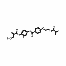 C=C(C)C(=O)OCCOc1ccc(C(=O)Oc2ccc(OC(=O)C(=C)CO)c(F)c2)cc1